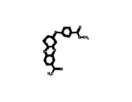 COC(=O)c1ccc(N=c2ccc3nc4ccc(C(C)=O)cc4sc-3c2)cc1